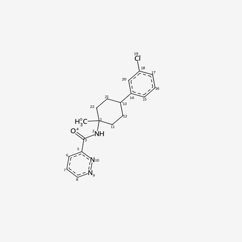 CC1(NC(=O)c2cccnn2)CC[C](c2cccc(Cl)c2)CC1